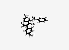 O=C(Oc1cc(O)cc2occ(-c3ccc(O)cc3)c(=O)c12)c1ccccc1